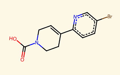 O=C(O)N1CC=C(c2ccc(Br)cn2)CC1